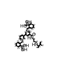 C=C(C)C(=C)NCCCNC(=O)c1cc(-c2ccc[n+](Cc3ccccc3B(O)O)c2)c[n+](Cc2ccccc2B(O)O)c1